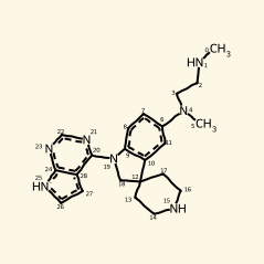 CNCCN(C)c1ccc2c(c1)C1(CCNCC1)CN2c1ncnc2[nH]ccc12